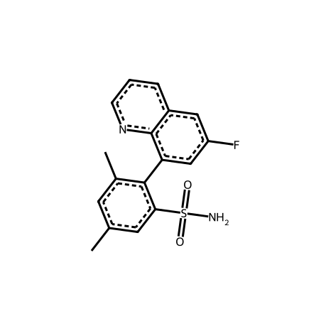 Cc1cc(C)c(-c2cc(F)cc3cccnc23)c(S(N)(=O)=O)c1